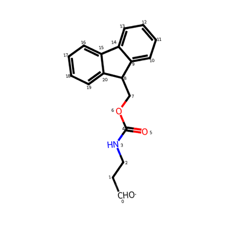 O=[C]CCNC(=O)OCC1c2ccccc2-c2ccccc21